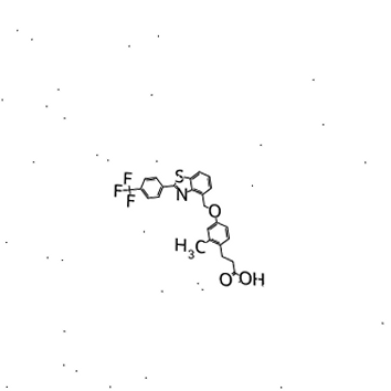 Cc1cc(OCc2cccc3sc(-c4ccc(C(F)(F)F)cc4)nc23)ccc1CCC(=O)O